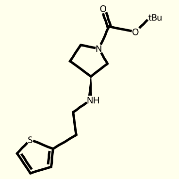 CC(C)(C)OC(=O)N1CC[C@H](NCCc2cccs2)C1